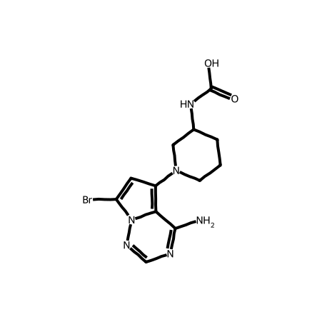 Nc1ncnn2c(Br)cc(N3CCCC(NC(=O)O)C3)c12